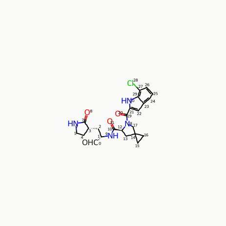 O=C[C@H](C[C@@H]1CCNC1=O)NC(=O)[C@@H]1CC2(CC2)CN1C(=O)c1cc2cccc(Cl)c2[nH]1